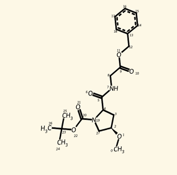 CO[C@@H]1CC(C(=O)NCC(=O)OCc2ccccc2)N(C(=O)OC(C)(C)C)C1